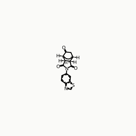 O=C1C[C@H]2CC[C@@H]1[C@H]1C(=O)N(c3ccc4ncsc4c3)C(=O)[C@@H]21